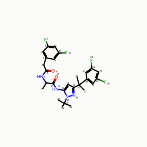 CC(NC(=O)Cc1cc(F)cc(F)c1)C(=O)Nc1cc(C(C)(C)c2cc(F)cc(F)c2)nn1C(C)(C)C